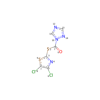 O=C(Sc1nc(Cl)c(Cl)s1)n1cncn1